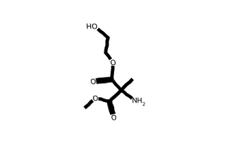 COC(=O)C(C)(N)C(=O)OCCO